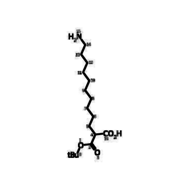 CC(C)(C)OC(=O)C(CCCCCCCCCCN)C(=O)O